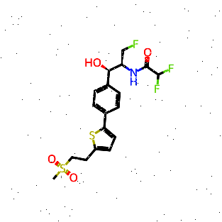 CS(=O)(=O)CCc1ccc(-c2ccc([C@@H](O)[C@@H](CF)NC(=O)C(F)F)cc2)s1